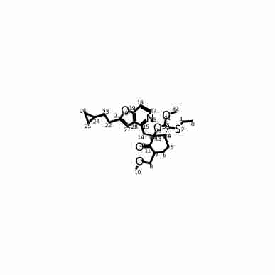 CCSC[C@@H]1CCC(COC)C(=O)[C@]1(Cc1nccc2oc(CCC3CC3)cc12)OCOC